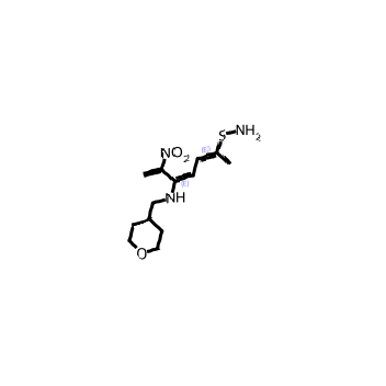 C=C(/C(=C\C=C(/C)SN)NCC1CCOCC1)[N+](=O)[O-]